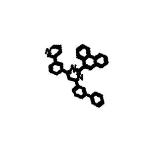 C1=CC(c2cccnc2)=CC(c2cc(-c3cccc(-c4ccccc4)c3)nc(-c3cc4ccccc4c4ccccc34)n2)C1